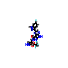 Cn1nc(-c2cnc3[nH]cc(C(=O)NCC4(OC(=O)C(F)(F)F)CNC4)c3n2)c2ccc(F)cc21